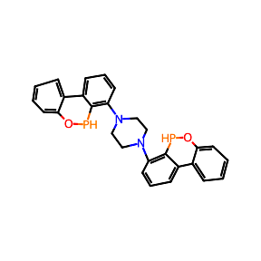 c1ccc2c(c1)OPc1c-2cccc1N1CCN(c2cccc3c2POc2ccccc2-3)CC1